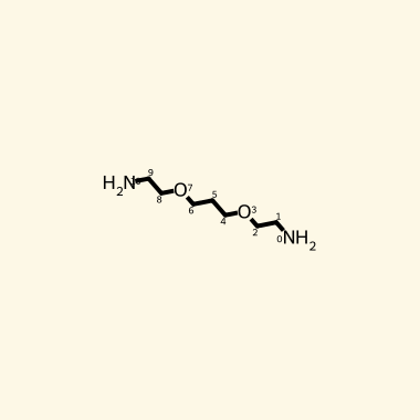 NCCOCCCOCCN